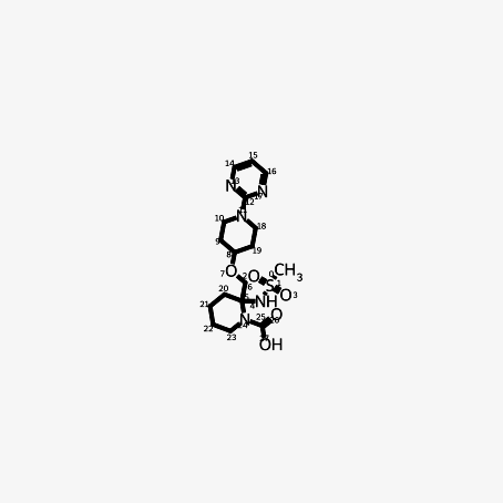 CS(=O)(=O)NC1(COC2CCN(c3ncccn3)CC2)CCCCN1C(=O)O